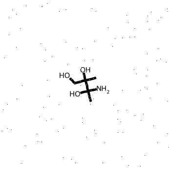 CC(N)(O)C(C)(O)CO